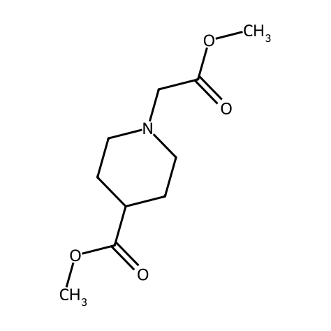 COC(=O)CN1CCC(C(=O)OC)CC1